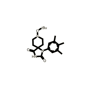 Cc1cc(N2C(=O)NC(=O)C23CCN(OC(C)(C)C)CC3)cc(C)c1C